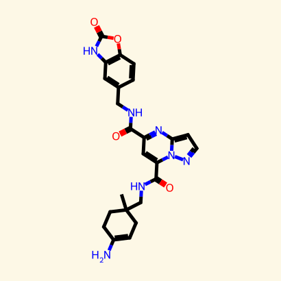 CC1(CNC(=O)c2cc(C(=O)NCc3ccc4oc(=O)[nH]c4c3)nc3ccnn23)CC=C(N)CC1